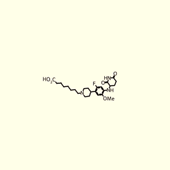 COc1cc(C2CCN(CCCCCCCC(=O)O)CC2)c(F)cc1NC1CCC(=O)NC1=O